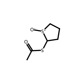 CC(=O)SC1CCC[S+]1[O-]